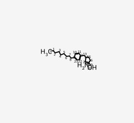 CCCCCCCCCc1ccc(CC2CCC(N)(CO)C2)cc1